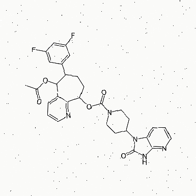 CC(=O)OC1c2cccnc2C(OC(=O)N2CCC(n3c(=O)[nH]c4ncccc43)CC2)CCC1c1cc(F)cc(F)c1